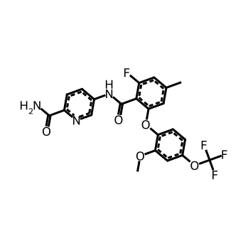 COc1cc(OC(F)(F)F)ccc1Oc1cc(C)cc(F)c1C(=O)Nc1ccc(C(N)=O)nc1